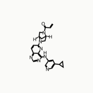 C=CC(=O)N1C[C@@H]2C[C@H]1CN2c1ccc2ncnc(Nc3cncc(C4CC4)c3)c2n1